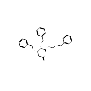 O=C1C[C@@H](OCc2ccccc2)[C@H](OCc2ccccc2)[C@@H](CCOCc2ccccc2)N1